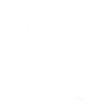 O=C(O)/C=C/c1cccc(-c2ccccc2C(F)(F)F)c1